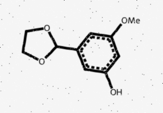 COc1cc(O)cc(C2OCCO2)c1